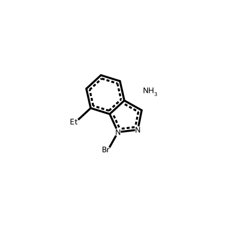 CCc1cccc2cnn(Br)c12.N